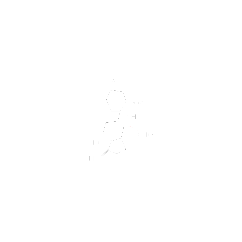 C=C1CCC2[C@H](OC=O)C([C@@]3(C)CC[C@H](OC(C)=O)C[C@@H]3OC(C)=O)CC[C@]12C